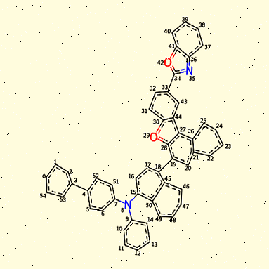 c1ccc(-c2ccc(N(c3ccccc3)c3ccc(-c4cc5ccccc5c5c4oc4ccc(-c6nc7ccccc7o6)cc45)c4ccccc34)cc2)cc1